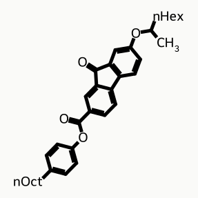 CCCCCCCCc1ccc(OC(=O)c2ccc3c(c2)C(=O)c2cc(OC(C)CCCCCC)ccc2-3)cc1